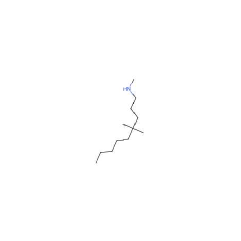 CCCCCC(C)(C)CCCNC